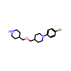 Brc1ccc(N2CCC(COCC3CCNCC3)CC2)cc1